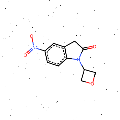 O=C1Cc2cc([N+](=O)[O-])ccc2N1C1COC1